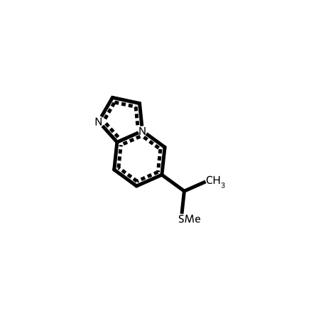 CSC(C)c1ccc2nccn2c1